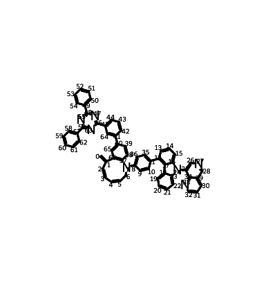 C=C1/C=C\C=C/CN(c2ccc(-c3cccc4c3c3ccccc3n4-c3cncc4cccnc34)cc2)c2ccc(-c3cccc(-c4nc(-c5ccccc5)nc(-c5ccccc5)n4)c3)cc21